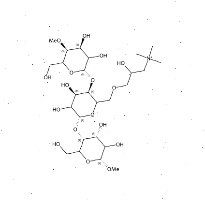 CO[C@@H]1OC(CO)[C@H](O[C@H]2OC(COCC(O)C[N+](C)(C)C)[C@H](O[C@@H]3OC(CO)[C@@H](OC)[C@@H](O)C3O)[C@H](O)C2O)[C@H](O)C1O